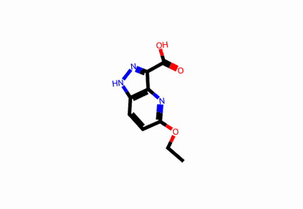 CCOc1ccc2[nH]nc(C(=O)O)c2n1